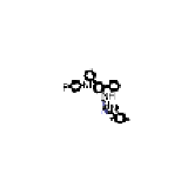 CNC(/C=C\N=C\NC1=C(C2C=CCCC2)C=C(C2C=CCCC2NC2C=CC(F)CC2)CC1)C1(C)C=C[C@H](C)CC1